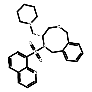 O=S(=O)(c1cccc2cccnc12)N1Cc2ccccc2COC[C@H]1CN1CCCCC1